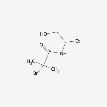 CCC(CO)NC(=O)C(C)(C)Br